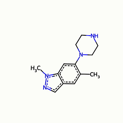 Cc1cc2cnn(C)c2cc1N1CCNCC1